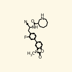 Cn1c(=O)oc2ccc(-c3ccc(CC(C#N)NC(=O)C4CCCCCNC4)c(F)c3)cc21